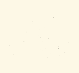 CCCCc1nc2ccc(NC(=O)CC3CCCCC3)cc2n1Cc1ccc(-c2ccccc2OC(=O)OC(C)(C)C)cc1